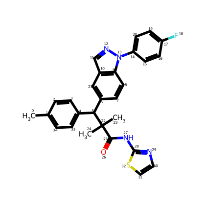 Cc1ccc(C(c2ccc3c(cnn3-c3ccc(F)cc3)c2)C(C)(C)C(=O)Nc2nccs2)cc1